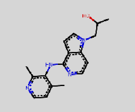 Cc1ccnc(C)c1Nc1nccc2c1ccn2CC(C)O